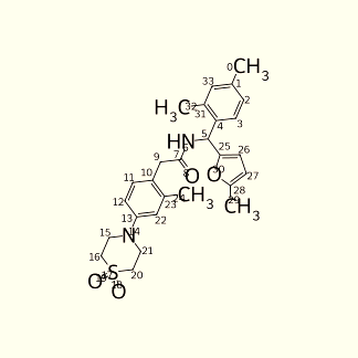 Cc1ccc(C(NC(=O)Cc2ccc(N3CCS(=O)(=O)CC3)cc2C)c2ccc(C)o2)c(C)c1